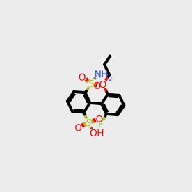 CCCOc1cccc(F)c1-c1c(S(N)(=O)=O)cccc1S(=O)(=O)O